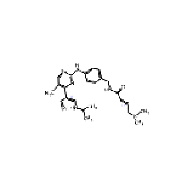 Cc1cnc(Nc2ccc(CNC(=O)/C=C/CN(C)C)cc2)nc1/C(C=N)=C/NC(C)C